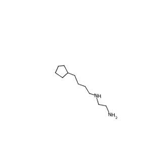 NCCNCCCCC1CCCC1